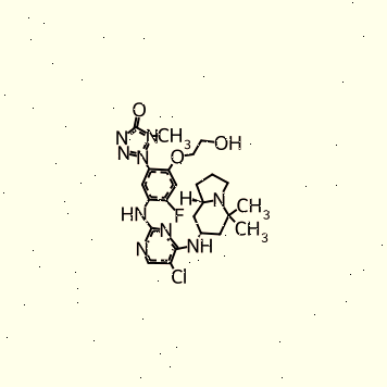 Cn1c(=O)nnn1-c1cc(Nc2ncc(Cl)c(N[C@@H]3C[C@@H]4CCCN4C(C)(C)C3)n2)c(F)cc1OCCO